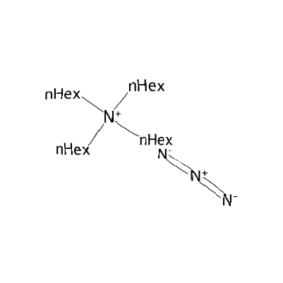 CCCCCC[N+](CCCCCC)(CCCCCC)CCCCCC.[N-]=[N+]=[N-]